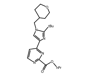 CCCOC(=O)c1nccc(-c2cn(CC3CCOCC3)c(C(C)(C)C)n2)n1